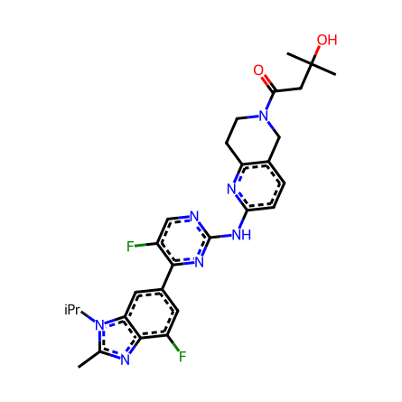 Cc1nc2c(F)cc(-c3nc(Nc4ccc5c(n4)CCN(C(=O)CC(C)(C)O)C5)ncc3F)cc2n1C(C)C